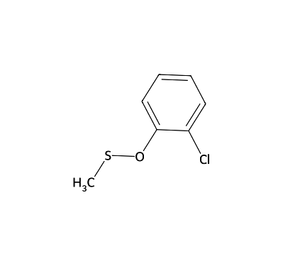 CSOc1ccccc1Cl